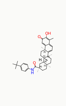 CC1=C(O)C(=O)C=C2C1=CC=C1[C@@]2(C)CC[C@@]2(C)[C@@H]3C[C@](C)(C(=O)Nc4ccc(C(C)(C)C)cc4)CC[C@]3(C)CC[C@]12C